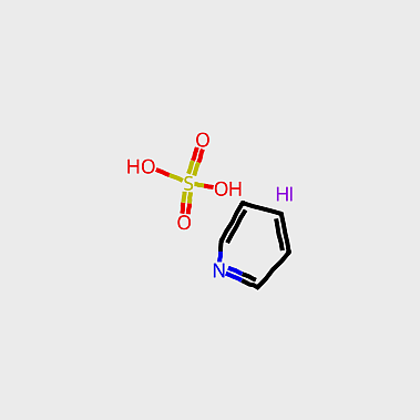 I.O=S(=O)(O)O.c1ccncc1